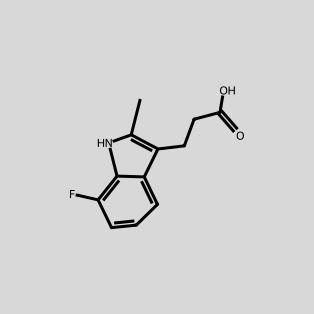 Cc1[nH]c2c(F)cccc2c1CCC(=O)O